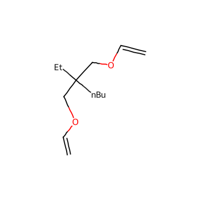 C=COCC(CC)(CCCC)COC=C